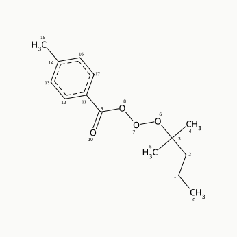 CCCC(C)(C)OOOC(=O)c1ccc(C)cc1